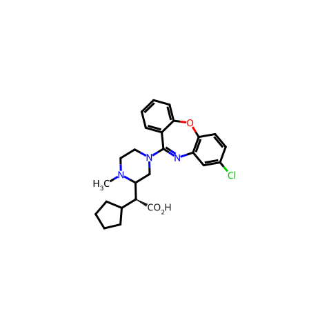 CN1CCN(C2=Nc3cc(Cl)ccc3Oc3ccccc32)CC1[C@@H](C(=O)O)C1CCCC1